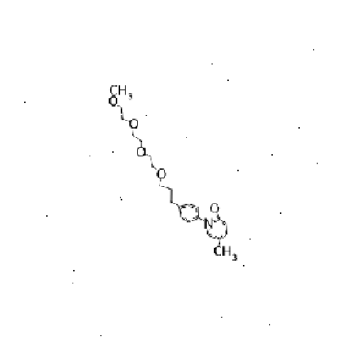 COCCOCCOCCOCCCc1ccc(-n2cc(C)ccc2=O)cc1